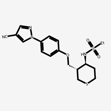 CCS(=O)(=O)N[C@H]1CCSC[C@@H]1COc1ccc(-n2cc(C#N)cn2)cc1